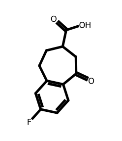 O=C1CC(C(=O)O)CCc2cc(F)ccc21